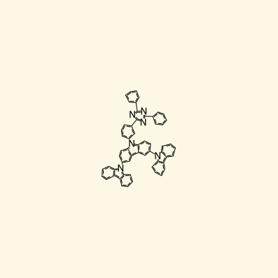 c1ccc(-c2nc(-c3ccccc3)nc(-c3cccc(-n4c5ccc(-n6c7ccccc7c7ccccc76)cc5c5cc(-n6c7ccccc7c7ccccc76)ccc54)c3)n2)cc1